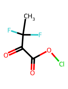 CC(F)(F)C(=O)C(=O)OCl